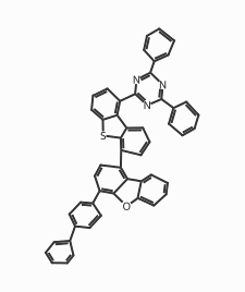 c1ccc(-c2ccc(-c3ccc(-c4cccc5c4sc4cccc(-c6nc(-c7ccccc7)nc(-c7ccccc7)n6)c45)c4c3oc3ccccc34)cc2)cc1